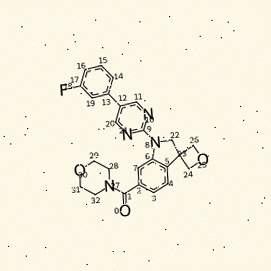 O=C(c1ccc2c(c1)N(c1ncc(-c3cccc(F)c3)cn1)CC21COC1)N1CCOCC1